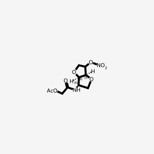 CC(=O)OCC(=O)N[C@@H]1CO[C@@H]2C(O[N+](=O)[O-])CO[C@@H]21